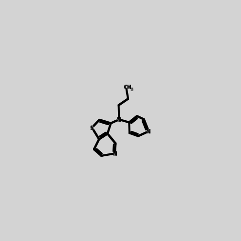 CCCN(c1ccncc1)c1csc2ccncc12